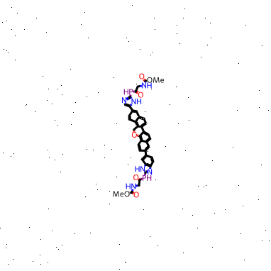 COC(=O)NCC(=O)Pc1ncc(-c2ccc3c4c(ccc3c2)-c2ccc3cc(-c5ccc6nc(PC(=O)CNC(=O)OC)[nH]c6c5)ccc3c2OC4)[nH]1